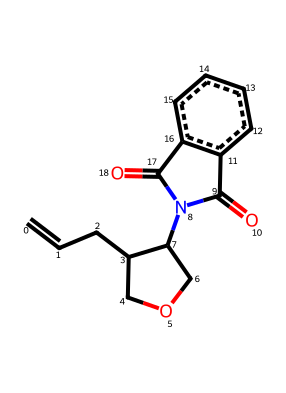 C=CCC1COCC1N1C(=O)c2ccccc2C1=O